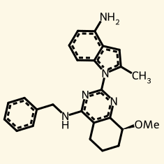 CO[C@H]1CCCc2c(NCc3ccccc3)nc(-n3c(C)cc4c(N)cccc43)nc21